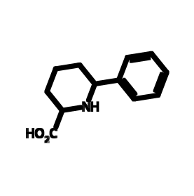 O=C(O)C1CCCC(c2ccccc2)N1